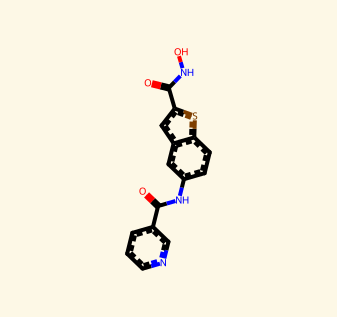 O=C(Nc1ccc2sc(C(=O)NO)cc2c1)c1cccnc1